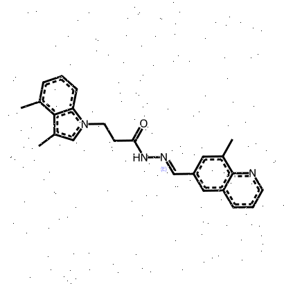 Cc1cc(/C=N/NC(=O)CCn2cc(C)c3c(C)cccc32)cc2cccnc12